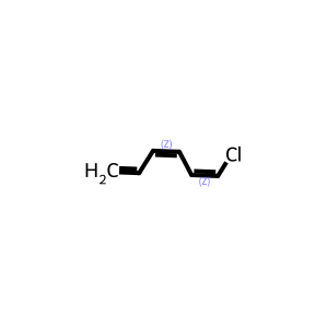 C=C/C=C\C=C/Cl